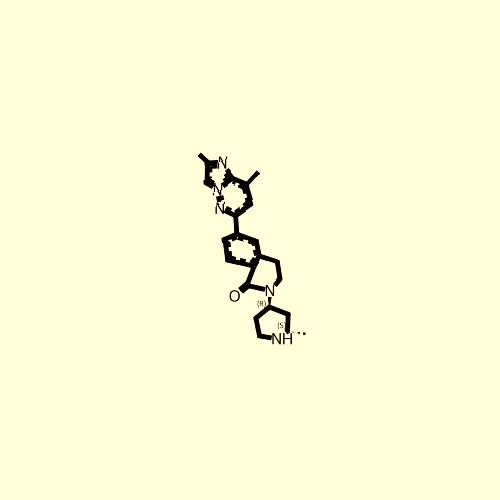 Cc1cn2nc(-c3ccc4c(c3)CCN([C@@H]3CCN[C@@H](C)C3)C4=O)cc(C)c2n1